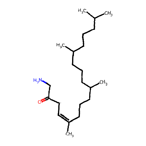 CC(=C[CH]C(=O)CN)CCCC(C)CCCC(C)CCCC(C)C